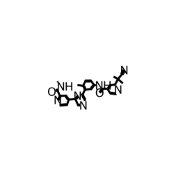 CNC(=O)c1cc(-c2cncc(-c3cc(NC(=O)c4ccnc(C(C)(C)C#N)c4)ccc3C)n2)ccn1